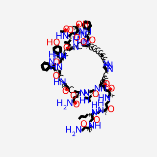 CCCC[C@H](NCN[C@@H](C)C(=O)CCN[C@@H](C)C(=O)CC(=O)[C@]1(C)CCCc2cn(nn2)CCCCCC[C@@](C)(NC(=O)[C@H](Cc2ccccc2)NN[C@H](C(=O)C(=O)[C@H](CC(C)C)NC(C)=O)[C@@H](C)O)C(=O)CN[C@@H](C)C(=O)CN[C@@H](Cc2ccc(O)cc2)C(=O)N[C@@H](Cc2c[nH]c3ccccc23)C(=O)CN[C@@H](C)C(=O)CC(=O)[C@H](CCC(N)=O)NN[C@@H](CC(C)C)C(=O)N1)C(=O)CN[C@@H](C)C(=O)CN